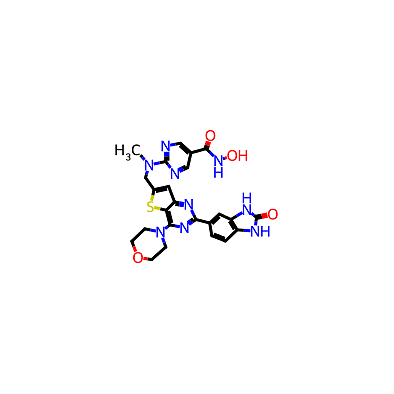 CN(Cc1cc2nc(-c3ccc4[nH]c(=O)[nH]c4c3)nc(N3CCOCC3)c2s1)c1ncc(C(=O)NO)cn1